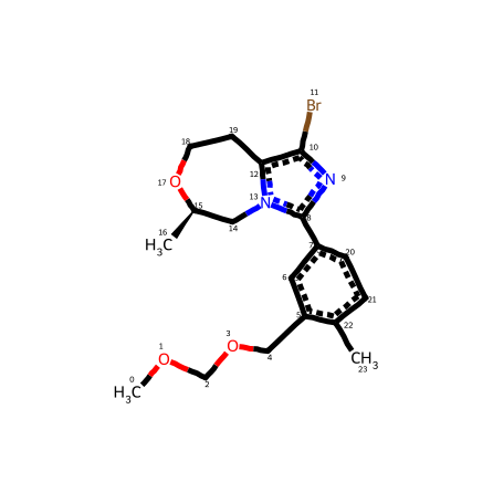 COCOCc1cc(-c2nc(Br)c3n2C[C@@H](C)OCC3)ccc1C